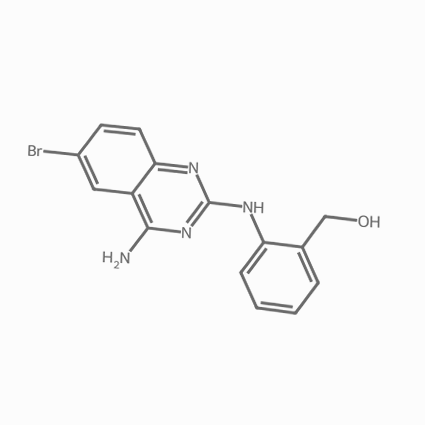 Nc1nc(Nc2ccccc2CO)nc2ccc(Br)cc12